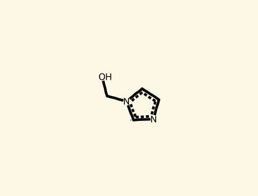 OCn1[c]ncc1